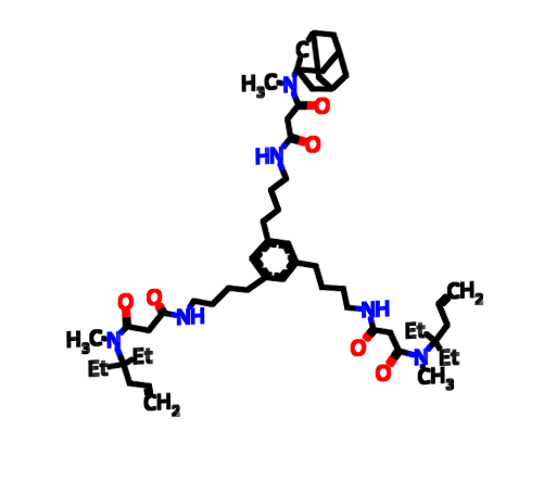 C=CCC(CC)(CC)N(C)C(=O)CC(=O)NCCCCc1cc(CCCCNC(=O)CC(=O)N(C)C(CC)(CC)CC=C)cc(CCCCNC(=O)CC(=O)N(C)C23CC4CC(CC(C4)C2)C3)c1